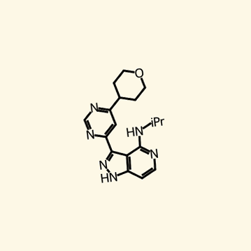 CC(C)Nc1nccc2[nH]nc(-c3cc(C4CCOCC4)ncn3)c12